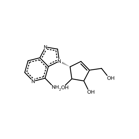 Nc1nccc2ncn([C@@H]3C=C(CO)C(O)C3O)c12